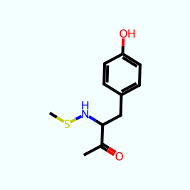 CSNC(Cc1ccc(O)cc1)C(C)=O